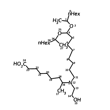 CCCCCCC(C)OC(CCCCCCCN(CCO)C(C)CCCCCCC(=O)O)OC(C)CCCCCC